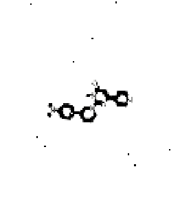 CN(C)c1ccc(C2CCCN(c3nc(-c4ccncc4)cc(=O)n3C)C2)cc1